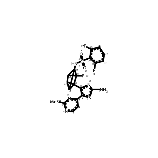 CSc1nccc(-c2sc(N)nc2C23C4C2C2(NS(=O)(=O)c5c(F)cccc5F)C4C23F)n1